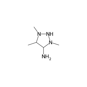 CC1C(N)N(C)NN1C